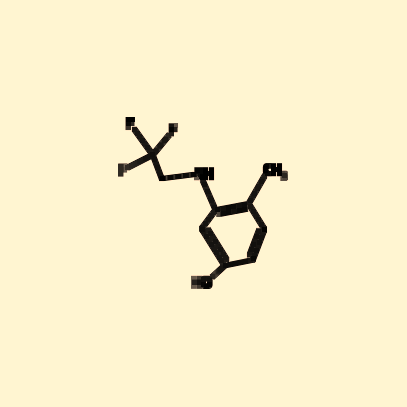 Cc1ccc(O)cc1NCC(F)(F)F